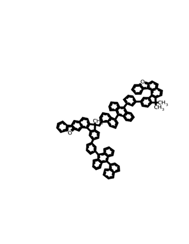 CC1(C)c2ccc(-c3cccc(-c4c5ccccc5c(-c5cccc6c(CC7(C)c8ccc(-c9cccc(-c%10c%11ccccc%11c(-c%11cccc%12ccccc%11%12)c%11ccccc%10%11)c9)cc8-c8c7ccc7cc9c(cc87)oc7ccccc79)cccc56)c5ccccc45)c3)cc2-c2c1ccc1ccc3oc4ccccc4c3c21